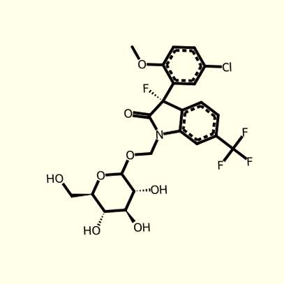 COc1ccc(Cl)cc1[C@]1(F)C(=O)N(COC2O[C@H](CO)[C@@H](O)[C@H](O)[C@H]2O)c2cc(C(F)(F)F)ccc21